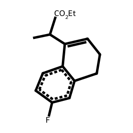 CCOC(=O)C(C)C1=CCCc2cc(F)ccc21